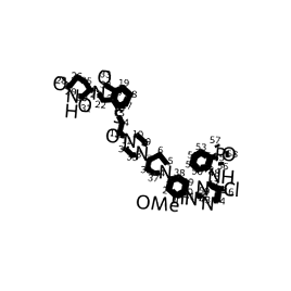 COc1cc(N2CCC(N3CCN(C(=O)CSc4cccc5c4CN(C4CCC(=O)NC4=O)C5=O)CC3)CC2)ccc1Nc1ncc(Cl)c(Nc2ccccc2P(C)(C)=O)n1